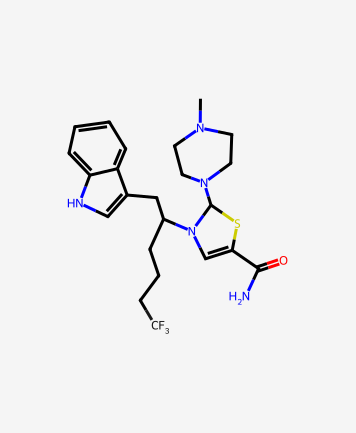 CN1CCN(C2SC(C(N)=O)=CN2C(CCCC(F)(F)F)Cc2c[nH]c3ccccc23)CC1